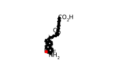 C[C@H](CCCC(C)(C)OC(=O)CCSSCCC(=O)O)[C@H]1CC[C@@]2(C)C3=C(CC[C@]12C)[C@@]1(C)CC(F)C(N)C(C)(C)[C@@H]1CC3